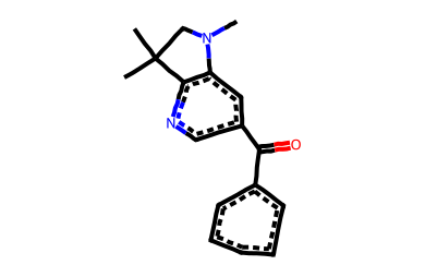 CN1CC(C)(C)c2ncc(C(=O)c3ccccc3)cc21